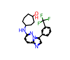 OC1CCCC(Nc2ccc3ncc(-c4cccc(C(F)(F)F)c4)n3n2)CC1